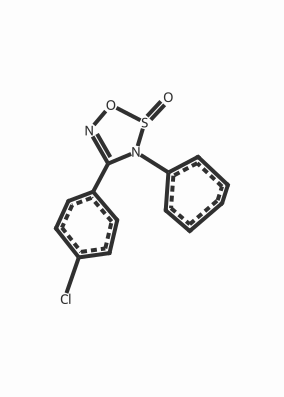 O=S1ON=C(c2ccc(Cl)cc2)N1c1ccccc1